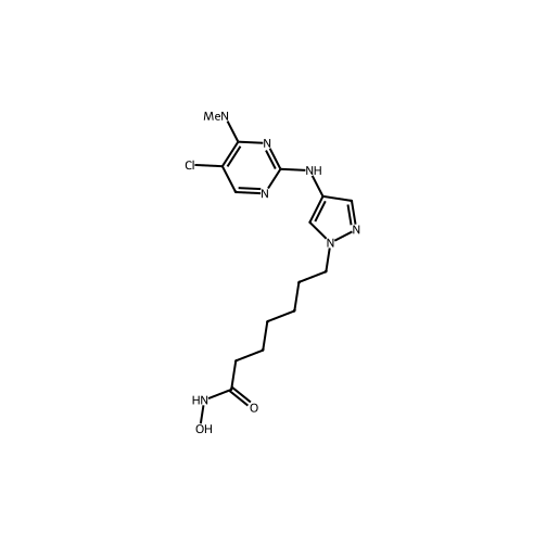 CNc1nc(Nc2cnn(CCCCCCC(=O)NO)c2)ncc1Cl